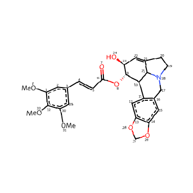 COc1cc(/C=C/C(=O)O[C@H]2C3c4cc5c(cc4CN4CCC(=C[C@@H]2O)C34)OCO5)cc(OC)c1OC